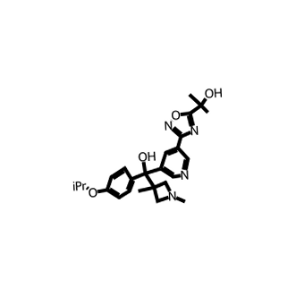 CC(C)Oc1ccc(C(O)(c2cncc(-c3noc(C(C)(C)O)n3)c2)C2(C)CN(C)C2)cc1